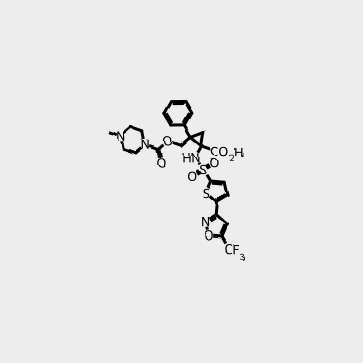 CN1CCN(C(=O)OCC2(c3ccccc3)CC2(NS(=O)(=O)c2ccc(-c3cc(C(F)(F)F)on3)s2)C(=O)O)CC1